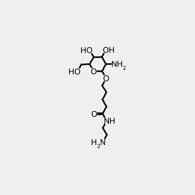 NCCNC(=O)CCCCOC1OC(CO)C(O)C(O)C1N